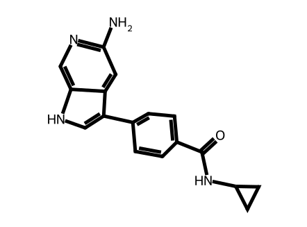 Nc1cc2c(-c3ccc(C(=O)NC4CC4)cc3)c[nH]c2cn1